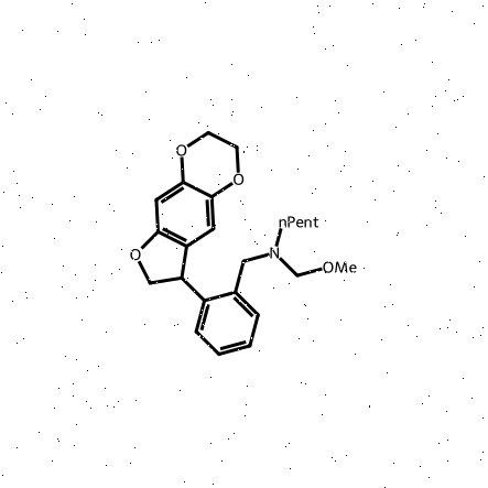 CCCCCN(COC)Cc1ccccc1C1COc2cc3c(cc21)OCCO3